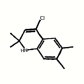 Cc1cc2c(cc1C)C(Cl)=CC(C)(C)N2